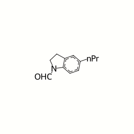 CCCc1ccc2c(c1)CCN2C=O